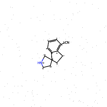 N#Cc1cccc2c1CCC21CCNC1